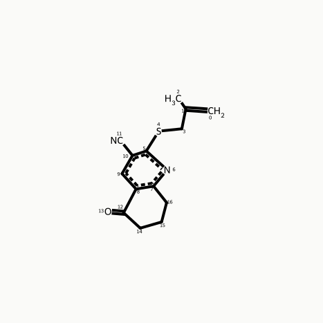 C=C(C)CSc1nc2c(cc1C#N)C(=O)CCC2